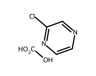 Clc1cnccn1.O=C(O)O